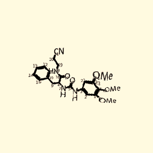 COc1cc(NC(=O)NC(Cc2ccccc2)C(=O)NCCC#N)cc(OC)c1OC